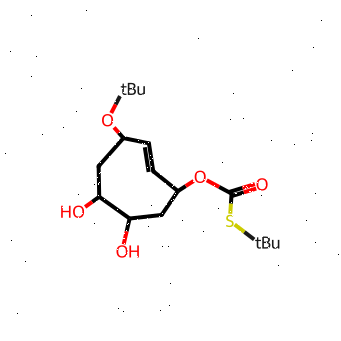 CC(C)(C)OC1/C=C/C(OC(=O)SC(C)(C)C)CC(O)C(O)C1